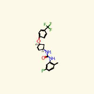 Cc1ccc(F)cc1NC(=O)N[C@H]1CC[C@H](Oc2ccc(C(F)(F)F)cc2)C1